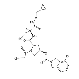 CC[C@@H]1C[C@]1(NC(=O)[C@@H]1C[C@@H](OC(=O)N2Cc3cccc(Cl)c3C2)CN1C(=O)CC(C)(C)C)C(=O)NOCC1CC1